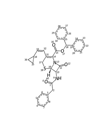 O=C(Cc1ccccc1)NC1C(=O)N2C(C(=O)OC(c3ccccc3)c3ccccc3)=C(/C=C\C3CC3)CS[C@@H]12